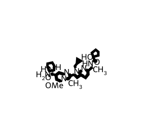 COc1cc(C(=O)N2[C@H]3CC[C@@H]2[C@H](N)C3)cc2nc(-c3cc4ccc([C@@H](C)NC(=O)C5(O)CCCC5)nc4n3CC3CC3)c(C)n12